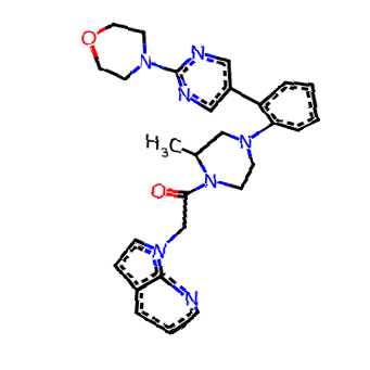 CC1CN(c2ccccc2-c2cnc(N3CCOCC3)nc2)CCN1C(=O)Cn1ccc2cccnc21